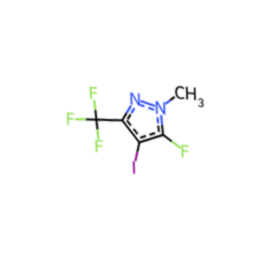 Cn1nc(C(F)(F)F)c(I)c1F